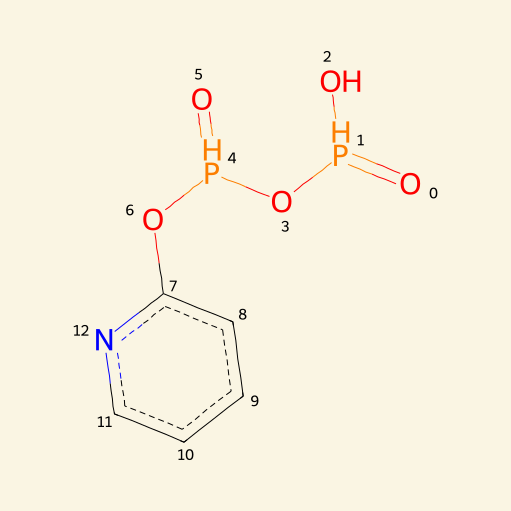 O=[PH](O)O[PH](=O)Oc1ccccn1